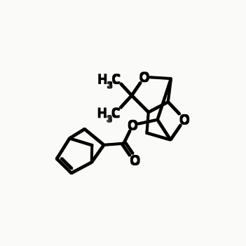 CC1(C)OC2C(OC(=O)C3CC4C=CC3C4)C3CC1C2O3